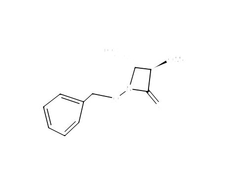 CCOC(=O)[C@@H]1[C@@H](OC)C(=O)N1OCc1ccccc1